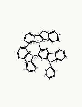 c1cncc(-n2c3ccccc3c3cc4c(cc32)n2c3ccccc3c3cccc(c5cccc6c7oc8ccccc8c7n4c56)c32)c1